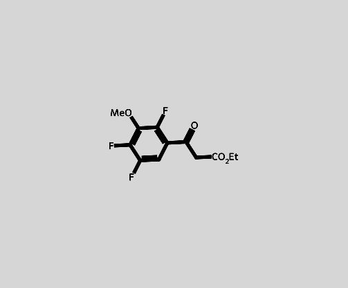 CCOC(=O)CC(=O)c1cc(F)c(F)c(OC)c1F